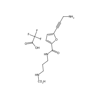 NCC#Cc1ccc(C(=O)NCCCNC(=O)O)o1.O=C(O)C(F)(F)F